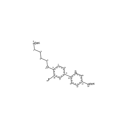 CCCCCCCCCCCCCCOc1ccc(-c2ccc(CCCCCC)cn2)cc1F